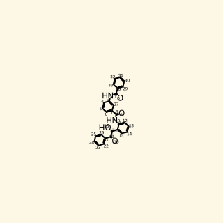 O=C(Nc1cccc(C(=O)Nc2ccccc2C(O)C(=O)c2ccccc2)c1)c1ccccc1